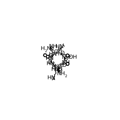 CC(C)NCCCC[C@H](NC(=O)[C@H]1CCC(=O)N[C@@H](Cc2ccccc2)C(=O)N[C@H](Cc2ccc(O)cc2)C(=O)N[C@@H](CCCCNC(C)C)C(=O)N[C@H](CCCN=C(N)N)C(=O)N[C@@H](Cc2ccc3ccccc3c2)C(=O)NCC(=O)N1)C(N)=O